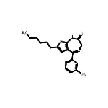 CCCCCCc1cc2c(s1)NC(=O)CN=C2c1cccc(C)c1